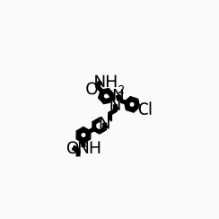 CC(=O)Nc1cccc(C2CCN(CCCn3c(-c4ccc(Cl)cc4)nc4cc(C(N)=O)ccc43)CC2)c1